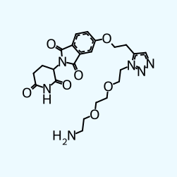 NCCOCCOCCn1nncc1CCOc1ccc2c(c1)C(=O)N(C1CCC(=O)NC1=O)C2=O